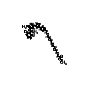 CCOC(=O)COCCOCCOCCOCCOCCN1CCC(n2cc(-c3cnc(N)c(O[C@H](C)c4c(Cl)ccc(F)c4Cl)c3)cn2)CC1